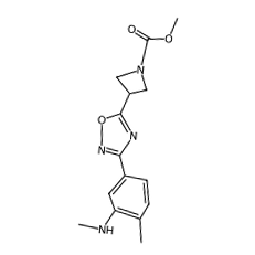 CNc1cc(-c2noc(C3CN(C(=O)OC)C3)n2)ccc1C